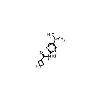 CN(C)c1cnc(NC(=O)C2CNC2)nc1.Cl